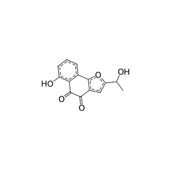 CC(O)c1cc2c(o1)-c1cccc(O)c1C(=O)C2=O